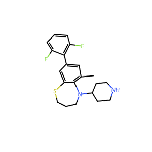 Cc1cc(-c2c(F)cccc2F)cc2c1N(C1CCNCC1)CCCS2